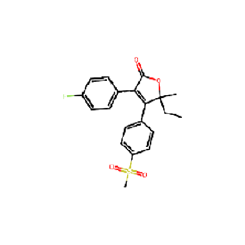 CCC1(C)OC(=O)C(c2ccc(F)cc2)=C1c1ccc(S(C)(=O)=O)cc1